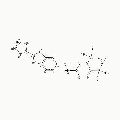 FC1(F)C2=C(C2)C(F)(F)c2cc(NCc3ccc4cc(-c5nn[nH]n5)oc4c3)ccc21